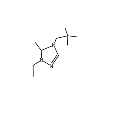 CCN1N=CN(CC(C)(C)C)C1C